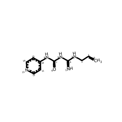 C=CCNC(=N)NC(=O)Nc1ccncc1